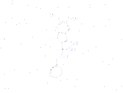 COc1cc2c(cc1OC)C(Cl)C1=C2NNC1(Cl)NCc1ccccc1